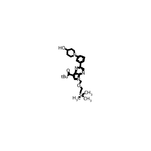 CC(C)(C)C(=O)c1cn(COCC[Si](C)(C)C)c2ncc(-c3cccc(N4CCC(O)CC4)c3)nc12